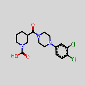 O=C(O)N1CCCC(C(=O)N2CCN(c3ccc(Cl)c(Cl)c3)CC2)C1